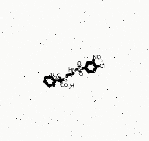 CC(SCCNS(=O)(=O)c1ccc(Cl)c([N+](=O)[O-])c1)(C(=O)O)c1ccccc1